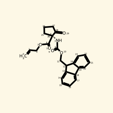 C=CCOC(=O)[C@@]1(NC(=O)OCC2c3ccccc3-c3ccccc32)CCCC1=O